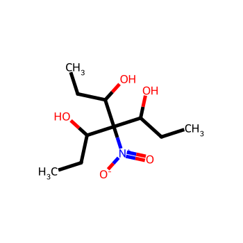 CCC(O)C(C(O)CC)(C(O)CC)[N+](=O)[O-]